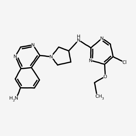 CCOc1nc(NC2CCN(c3ncnc4cc(N)ccc34)C2)ncc1Cl